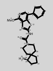 COc1ncc(-c2ccccc2)c2sc(NC(=O)N3CCC4(CCC[C@H]4N)CC3)nc12